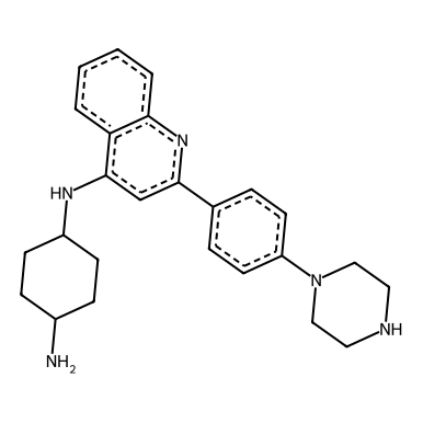 NC1CCC(Nc2cc(-c3ccc(N4CCNCC4)cc3)nc3ccccc23)CC1